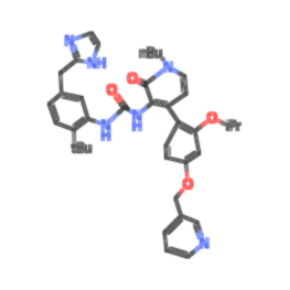 CCCCn1ccc(-c2ccc(OCc3cccnc3)cc2OC(C)C)c(NC(=O)Nc2cc(Cc3ncc[nH]3)ccc2C(C)(C)C)c1=O